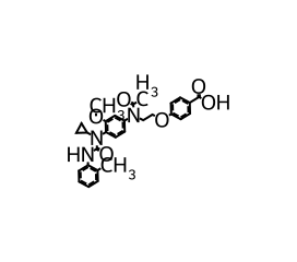 COc1cc(N(CCOc2ccc(C(=O)O)cc2)C(C)=O)ccc1N(C(=O)Nc1ccccc1C)C1CC1